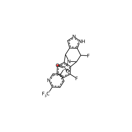 O=S(=O)(c1ccc(C(F)(F)F)nc1)N1C2c3cn[nH]c3C(F)C1c1c(F)cccc12